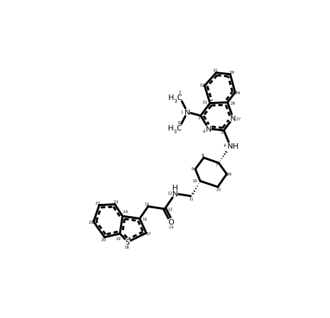 CN(C)c1nc(N[C@H]2CC[C@@H](CNC(=O)Cc3csc4ccccc34)CC2)nc2ccccc12